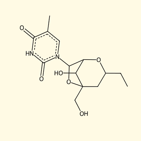 CCC1CC2(CO)OC(n3cc(C)c(=O)[nH]c3=O)C(O1)C2O